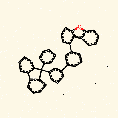 c1ccc(C2(c3cccc(-c4cccc(-c5cccc6oc7ccccc7c56)c4)c3)c3ccccc3-c3ccccc32)cc1